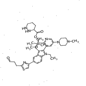 CCn1c(-c2cc(N3CCN(C)CC3)cnc2C(C)OC)c(CC(C)(C)COC(=O)C2CCCNN2)c2cc(-c3csc(CCC=O)n3)ccc21